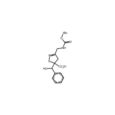 CCOC(=O)C1(C(O)c2ccccc2)CC(CNC(=O)OC(C)(C)C)=NO1